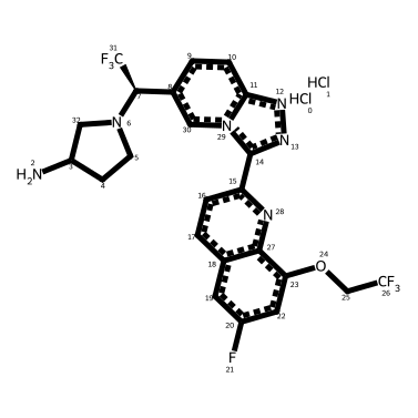 Cl.Cl.NC1CCN([C@H](c2ccc3nnc(-c4ccc5cc(F)cc(OCC(F)(F)F)c5n4)n3c2)C(F)(F)F)C1